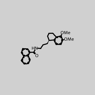 COc1ccc2c(c1OC)CCC[C@@H]2CCCNC(=O)c1cccc2ccccc12